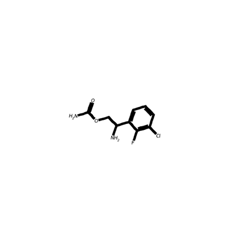 NC(=O)OCC(N)c1cccc(Cl)c1F